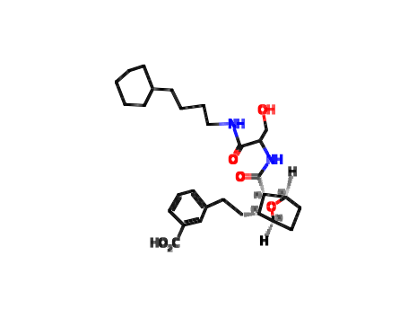 O=C(O)c1cccc(CC[C@@H]2[C@H](C(=O)NC(CO)C(=O)NCCCCC3CCCCC3)[C@H]3CC[C@@H]2O3)c1